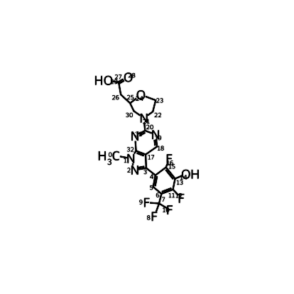 Cn1nc(-c2cc(C(F)(F)F)c(F)c(O)c2F)c2cnc(N3CCOC(CC(=O)O)C3)nc21